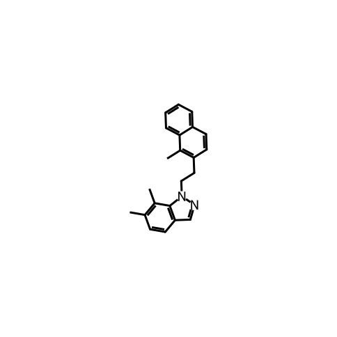 Cc1ccc2cnn(CCc3ccc4ccccc4c3C)c2c1C